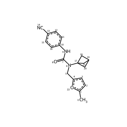 Cc1ccc(CN(C(=O)Nc2ccc(C#N)cc2)C23CC(C2)C3)o1